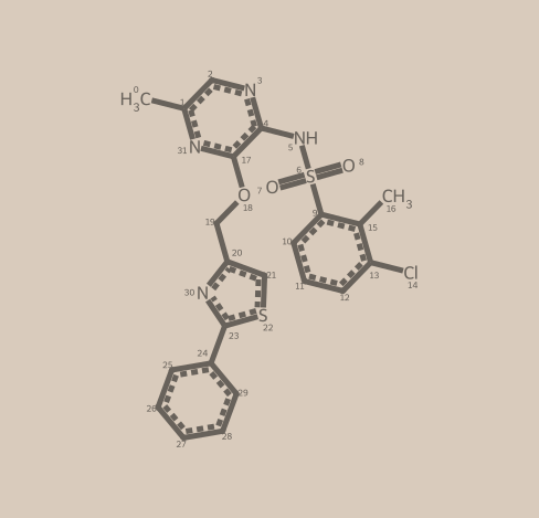 Cc1cnc(NS(=O)(=O)c2cccc(Cl)c2C)c(OCc2csc(-c3ccccc3)n2)n1